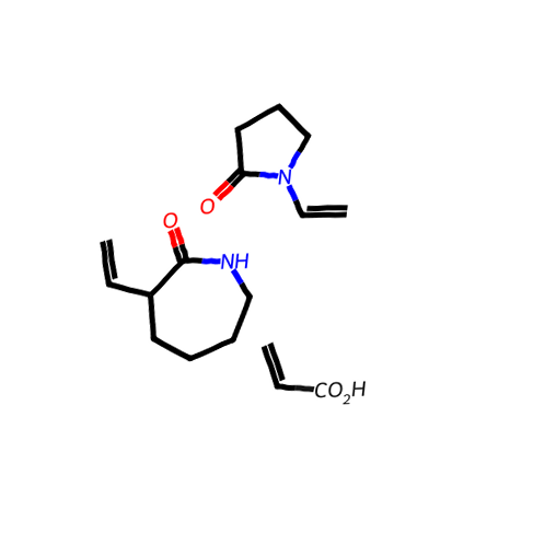 C=CC(=O)O.C=CC1CCCCNC1=O.C=CN1CCCC1=O